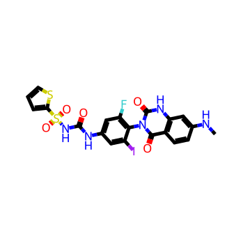 CNc1ccc2c(=O)n(-c3c(F)cc(NC(=O)NS(=O)(=O)c4cccs4)cc3I)c(=O)[nH]c2c1